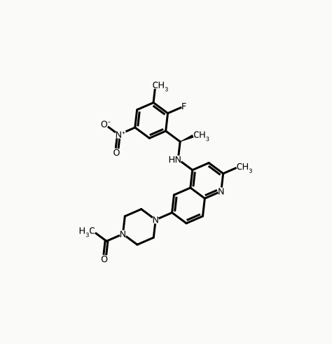 CC(=O)N1CCN(c2ccc3nc(C)cc(N[C@H](C)c4cc([N+](=O)[O-])cc(C)c4F)c3c2)CC1